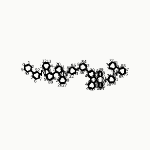 C1=CCC(c2cccc(-n3c4ccccc4c4c(-c5cccc6c5c5ccccc5n6-c5ccc(C6C=C(c7ccc8c(c7)-c7ccccc7C87c8ccccc8N(c8cccc(-n9c%10ccccc%10c%10ccccc%109)c8)c8ccccc87)C=CC6)cc5)cccc43)c2)CC1